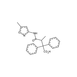 Cc1cc(NC(=O)C(C)C(C(=O)O)(c2ccccc2)c2ccccc2)no1